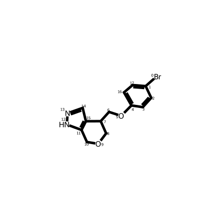 Brc1ccc(OCC2COCc3[nH]ncc32)cc1